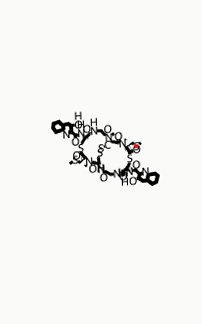 CSC[C@H]1C(=O)SC[C@@H](NC(=O)c2nc3ccccc3cc2O)C(=O)NCC(=O)N(C)C2CSSCC(C(=O)N1C)N(C)C(=O)CNC(=O)[C@H](NC(=O)c1nc3ccccc3cc1O)CSC(=O)[C@H](CSC)N(C)C2O